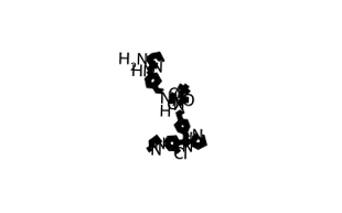 Cc1ccn(-c2ccc(-c3nc4cccnc4n3-c3ccc(CCN(OC(=O)NCCc4ccc(Nc5ncccc5N)cc4)C(=O)OC(C)(C)C)cc3)c(Cl)c2)n1